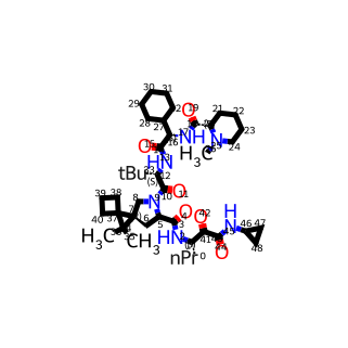 CCC[C@H](NC(=O)C1C[C@@]2(CN1C(=O)[C@@H](NC(=O)[C@@H](NC(=O)[C@@H]1CCCCN1C)C1CCCCC1)C(C)(C)C)C(C)(C)C21CCC1)C(=O)C(=O)NC1CC1